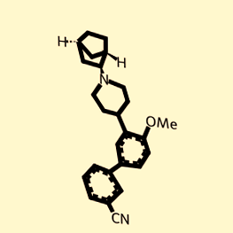 COc1ccc(-c2cccc(C#N)c2)cc1C1CCN([C@H]2C[C@H]3CC[C@H]2C3)CC1